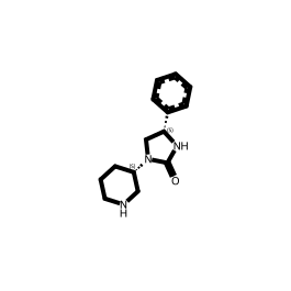 O=C1N[C@@H](c2ccccc2)CN1[C@H]1CCCNC1